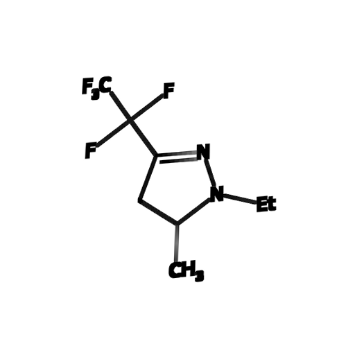 CCN1N=C(C(F)(F)C(F)(F)F)CC1C